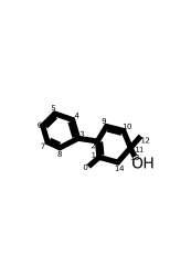 CC1=C(c2ccccc2)C=CC(C)(O)C1